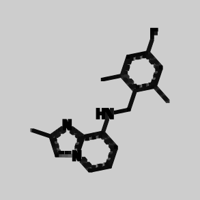 Cc1cn2cccc(NCc3c(C)cc(F)cc3C)c2n1